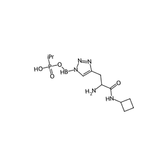 CC(C)P(=O)(O)OBn1cc(CC(N)C(=O)NC2CCC2)nn1